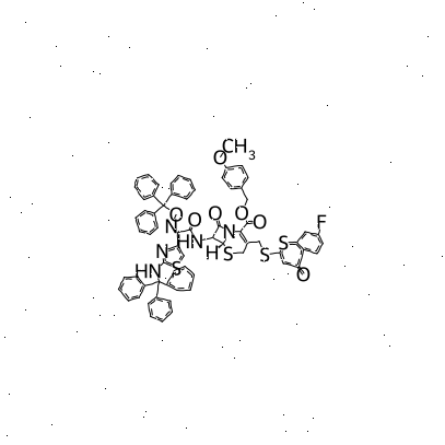 COc1ccc(COC(=O)C2=C(CSc3cc(=O)c4ccc(F)cc4s3)CS[C@@H]3C(NC(=O)/C(=N\OC(c4ccccc4)(c4ccccc4)c4ccccc4)c4csc(NC(c5ccccc5)(c5ccccc5)c5ccccc5)n4)C(=O)N23)cc1